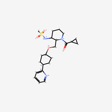 CS(=O)(=O)NC1CCCN(C(=O)C2CC2)C1COC1CCC(c2ccccn2)CC1